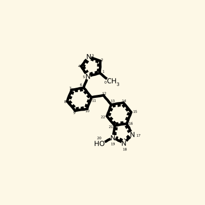 Cc1cncn1-c1ccccc1Cc1ccc2nnn(O)c2c1